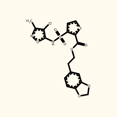 Cc1noc(NS(=O)(=O)c2ccsc2C(=O)OCCc2ccc3c(c2)OCO3)c1Cl